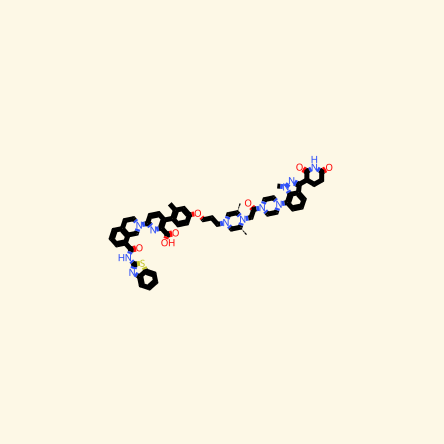 Cc1cc(OCCCN2C[C@@H](C)N(CC(=O)N3CCN(c4cccc5c(C6CCC(=O)NC6=O)nn(C)c45)CC3)[C@@H](C)C2)ccc1-c1ccc(N2CCc3cccc(C(=O)Nc4nc5ccccc5s4)c3C2)nc1C(=O)O